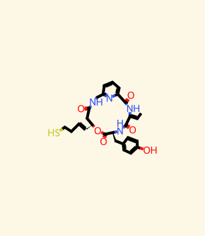 C/C=C1\NC(=O)c2cccc(n2)CNC(=O)C[C@@H](/C=C/CCS)OC(=O)[C@H](Cc2ccc(O)cc2)NC1=O